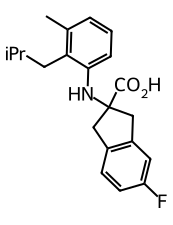 Cc1cccc(NC2(C(=O)O)Cc3ccc(F)cc3C2)c1CC(C)C